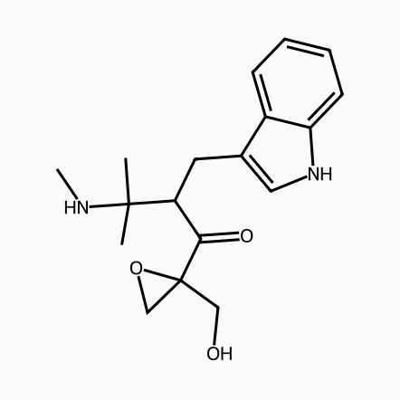 CNC(C)(C)C(Cc1c[nH]c2ccccc12)C(=O)C1(CO)CO1